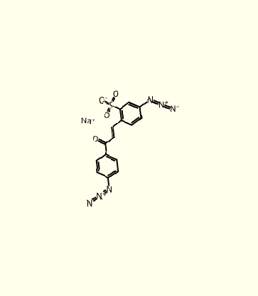 [N-]=[N+]=Nc1ccc(C(=O)C=Cc2ccc(N=[N+]=[N-])cc2S(=O)(=O)[O-])cc1.[Na+]